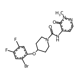 Cn1nccc(NC(=O)N2CCC(Oc3cc(F)c(F)cc3Br)CC2)c1=O